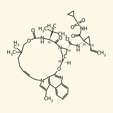 C=C[C@@H]1C[C@]1(NC(=O)[C@@H]1C[C@@H]2CN1C(=O)[C@H](C(C)(C)C)NC(=O)OCC(C)(C)CCC=CCn1cc(C)c3c4ccccc4nc(c31)O2)C(=O)NS(=O)(=O)C1CC1